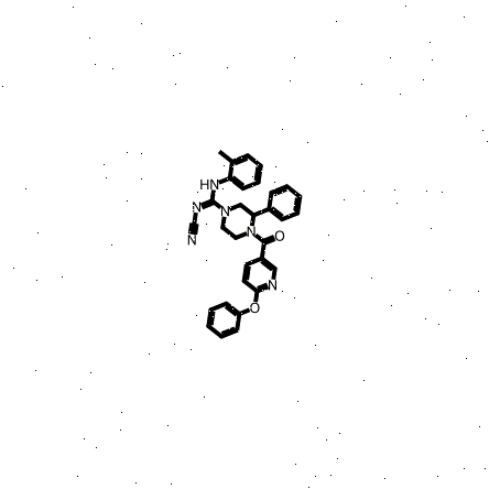 Cc1ccccc1N/C(=N/C#N)N1CCN(C(=O)c2ccc(Oc3ccccc3)nc2)C(c2ccccc2)C1